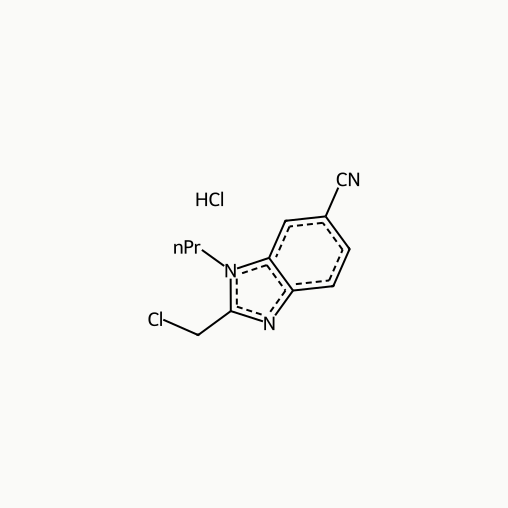 CCCn1c(CCl)nc2ccc(C#N)cc21.Cl